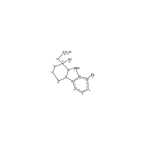 CCc1cccc2c1NC1C2CCCC1(CC)CC(=O)O